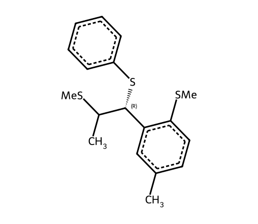 CSc1ccc(C)cc1[C@@H](Sc1ccccc1)C(C)SC